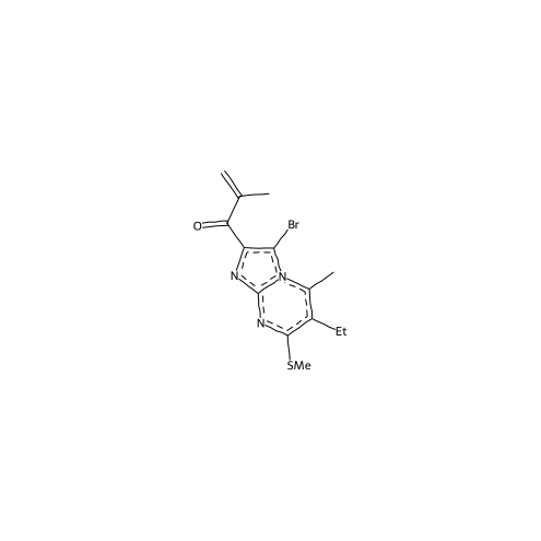 C=C(C)C(=O)c1nc2nc(SC)c(CC)c(C)n2c1Br